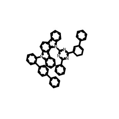 C1=C(c2ccccc2)C=C(c2nc(-c3ccccc3)nc(-n3c4ccccc4c4ccc5c(c6ccccc6n5-c5ccccc5-c5ccc(-c6ccccc6)cc5)c43)n2)CC1